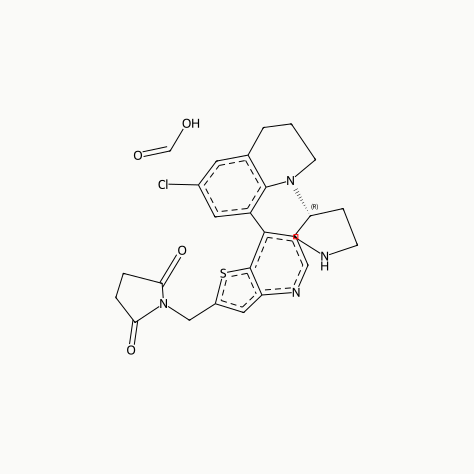 O=C1CCC(=O)N1Cc1cc2nccc(-c3cc(Cl)cc4c3N([C@@H]3CCNC3)CCC4)c2s1.O=CO